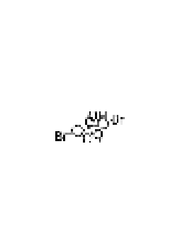 CCOC(=O)C(OO)(c1ccc(Br)cc1)c1ccc(Br)cc1